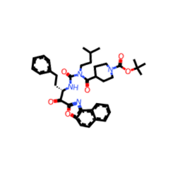 CC(C)CCN(C(=O)N[C@@H](CCc1ccccc1)C(=O)c1nc2c(ccc3ccccc32)o1)C(=O)C1CCN(C(=O)OC(C)(C)C)CC1